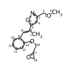 COCc1cc(C(C)=Cc2ccccc2OCC2CO2)on1